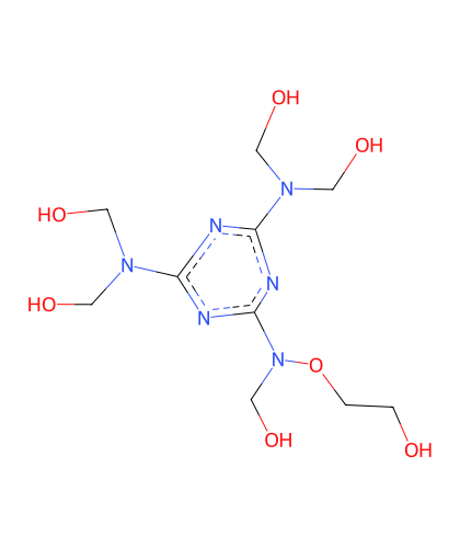 OCCON(CO)c1nc(N(CO)CO)nc(N(CO)CO)n1